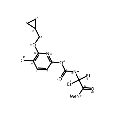 CCC(CC)(NC(=O)Oc1ccc(Cl)c(OCC2CC2)n1)C(=O)NC